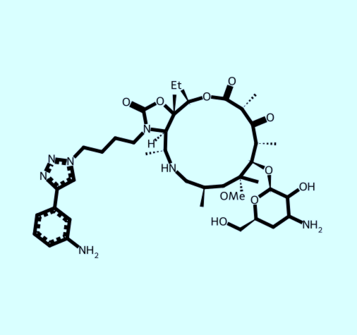 CC[C@H]1OC(=O)[C@H](C)C(=O)[C@H](C)[C@@H](O[C@@H]2O[C@H](CO)CC(N)C2O)[C@](C)(OC)C[C@@H](C)CN[C@H](C)[C@H]2N(CCCCn3cc(-c4cccc(N)c4)nn3)C(=O)O[C@]12C